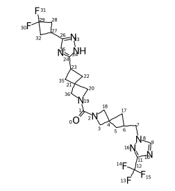 O=C(N1CC2(CC(Cn3cnc(C(F)(F)F)n3)C2)C1)N1CC2(CC(c3nc(C4CC(F)(F)C4)n[nH]3)C2)C1